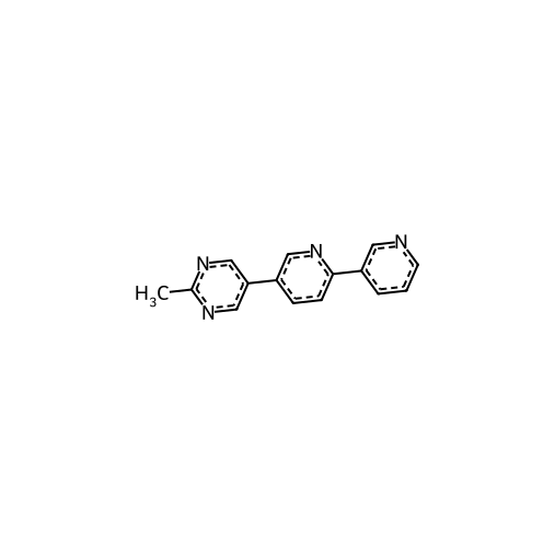 Cc1ncc(-c2ccc(-c3cccnc3)nc2)cn1